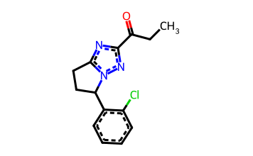 CCC(=O)c1nc2n(n1)C(c1ccccc1Cl)CC2